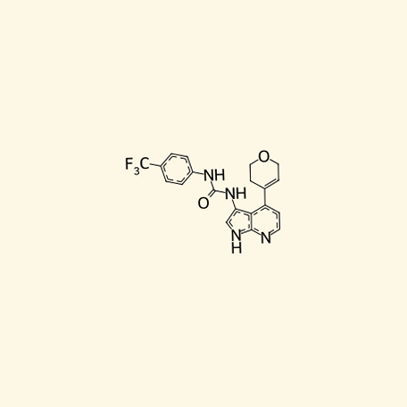 O=C(Nc1ccc(C(F)(F)F)cc1)Nc1c[nH]c2nccc(C3=CCOCC3)c12